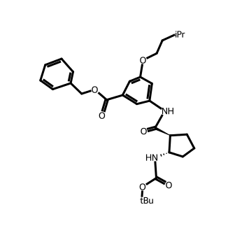 CC(C)CCOc1cc(NC(=O)[C@H]2CCC[C@@H]2NC(=O)OC(C)(C)C)cc(C(=O)OCc2ccccc2)c1